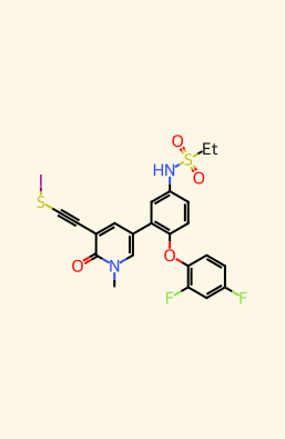 CCS(=O)(=O)Nc1ccc(Oc2ccc(F)cc2F)c(-c2cc(C#CSI)c(=O)n(C)c2)c1